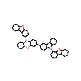 c1ccc2c(c1)Oc1cc(-c3ccc4c(c3)c3ccccc3n4-c3cccc4c3oc3ccccc34)ccc1N2c1ccc2oc3ccccc3c2c1